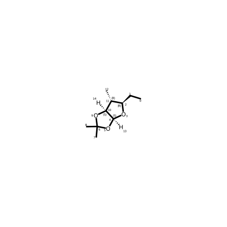 CC[C@H]1O[C@H]2OC(C)(C)O[C@H]2[C@@H]1C